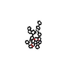 c1ccc(-c2ccc(N(c3ccccc3)c3cc(-c4ccc(N(c5ccccc5-c5ccccc5)c5cccc6c5-c5ccccc5C65c6ccccc6-c6ccc7ccccc7c65)cc4)c4ccc5ccccc5c4c3)cc2)cc1